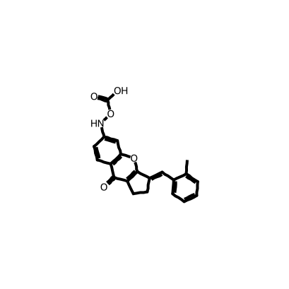 Cc1ccccc1C=C1CCc2c1oc1cc(NOC(=O)O)ccc1c2=O